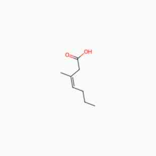 CCCC=C(C)CC(=O)O